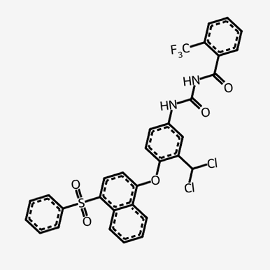 O=C(NC(=O)c1ccccc1C(F)(F)F)Nc1ccc(Oc2ccc(S(=O)(=O)c3ccccc3)c3ccccc23)c(C(Cl)Cl)c1